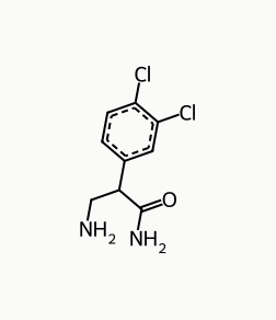 NCC(C(N)=O)c1ccc(Cl)c(Cl)c1